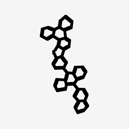 c1ccc2cc(-c3c4ccccc4c(-c4ccc5sc6c(ccc7c8ccccc8c8ccccc8c76)c5c4)c4ccccc34)ccc2c1